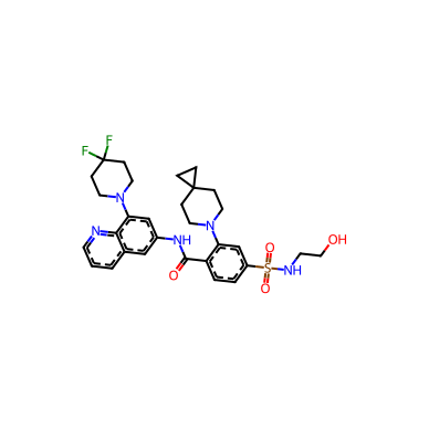 O=C(Nc1cc(N2CCC(F)(F)CC2)c2ncccc2c1)c1ccc(S(=O)(=O)NCCO)cc1N1CCC2(CC1)CC2